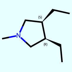 CC[C@@H]1CN(C)C[C@@H]1CC